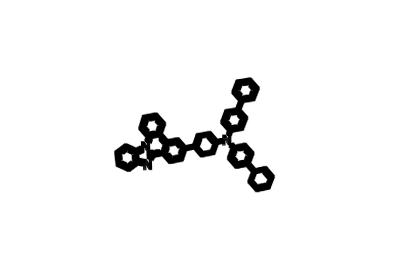 C1=CCC(c2ccc(N(C3=CC=C(c4ccc5c(c4)c4ccccc4n4c6ccccc6nc54)CC3)c3ccc(-c4ccccc4)cc3)cc2)C=C1